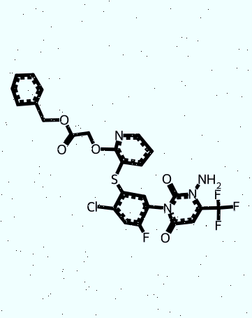 Nn1c(C(F)(F)F)cc(=O)n(-c2cc(Sc3cccnc3OCC(=O)OCc3ccccc3)c(Cl)cc2F)c1=O